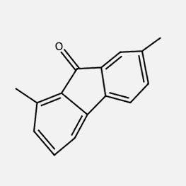 Cc1ccc2c(c1)C(=O)c1c(C)cccc1-2